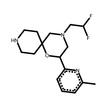 Cc1cccc(C2CN(CC(F)F)CC3(CCNCC3)O2)n1